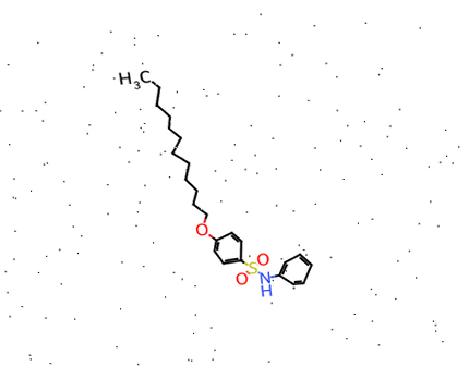 CCCCCCCCCCCCOc1ccc(S(=O)(=O)Nc2[c]cccc2)cc1